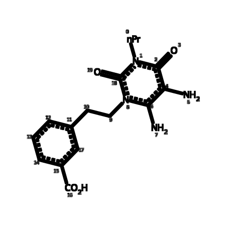 CCCn1c(=O)c(N)c(N)n(CCc2cccc(C(=O)O)c2)c1=O